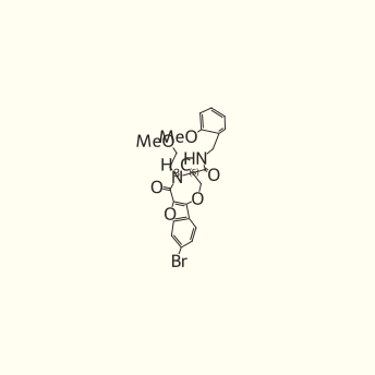 COCCN1C(=O)c2oc3cc(Br)ccc3c2OC[C@@]1(C)C(=O)NCc1ccccc1OC